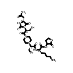 CC(C)C[C@@H](C(=O)N[C@H](CCCCN)C(=O)NC1CCOC1=O)N1CCN(C(=O)[C@H](CS)N2C(=O)N[C@H](CC(N)=O)C2=O)CC1